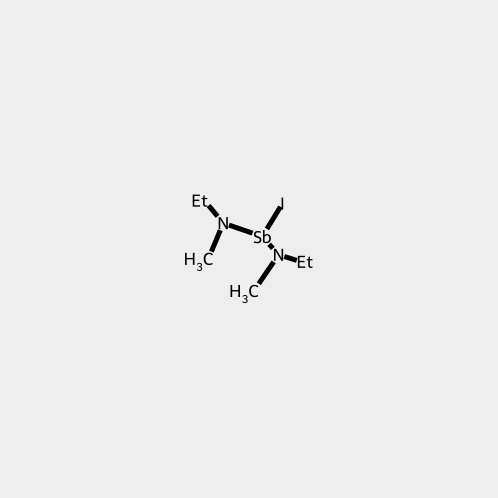 CC[N](C)[Sb]([I])[N](C)CC